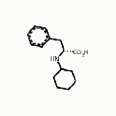 O=C(O)[C@@H](Cc1ccccc1)NC1CCCCC1